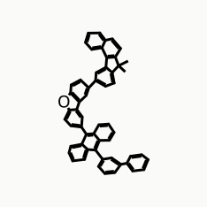 CC1(C)c2ccc(-c3ccc4oc5ccc(-c6c7ccccc7c(-c7cccc(-c8ccccc8)c7)c7ccccc67)cc5c4c3)cc2-c2c1ccc1ccccc21